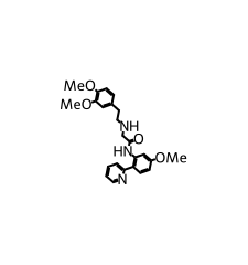 COc1ccc(-c2ccccn2)c(NC(=O)CNCCc2ccc(OC)c(OC)c2)c1